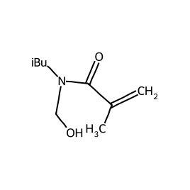 C=C(C)C(=O)N(CO)C(C)CC